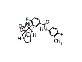 Cc1cc(NC(=O)c2ccc(F)c(C(F)(F)C(=O)N3[C@@H]4CC[C@H]3C[C@H](C(N)=O)C4)c2)ccc1F